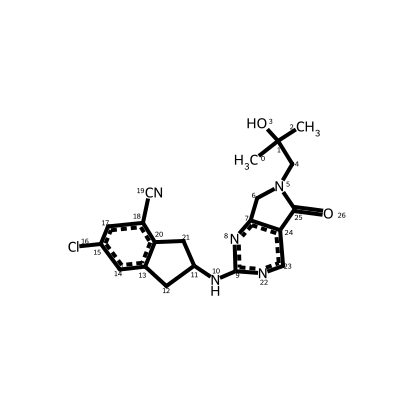 CC(C)(O)CN1Cc2nc(NC3Cc4cc(Cl)cc(C#N)c4C3)ncc2C1=O